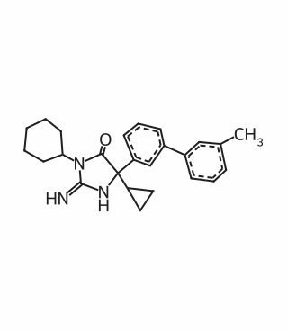 Cc1cccc(-c2cccc(C3(C4CC4)NC(=N)N(C4CCCCC4)C3=O)c2)c1